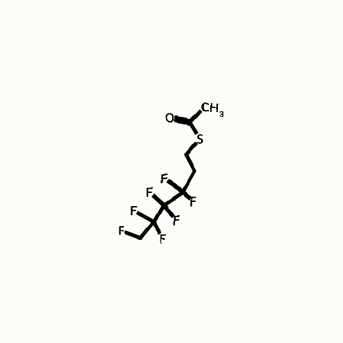 CC(=O)SCCC(F)(F)C(F)(F)C(F)(F)CF